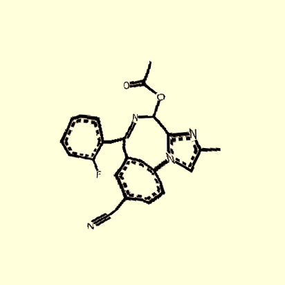 CC(=O)OC1N=C(c2ccccc2F)c2cc(C#N)ccc2-n2cc(C)nc21